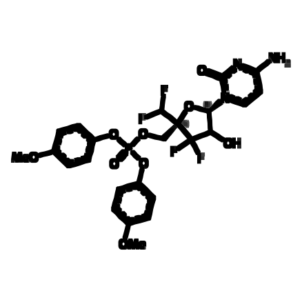 COc1ccc(OP(=O)(OC[C@@]2(C(F)F)O[C@@H](n3ccc(N)nc3=O)C(O)C2(F)F)Oc2ccc(OC)cc2)cc1